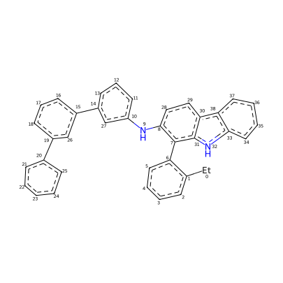 CCc1ccccc1-c1c(Nc2cccc(-c3cccc(-c4ccccc4)c3)c2)ccc2c1[nH]c1ccccc12